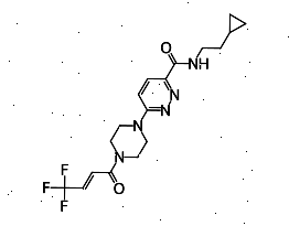 O=C(NCCC1CC1)c1ccc(N2CCN(C(=O)C=CC(F)(F)F)CC2)nn1